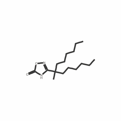 CCCCCCC(C)(CCCCCC)c1noc(=O)[nH]1